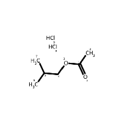 CC(=O)OCC(C)C.Cl.Cl